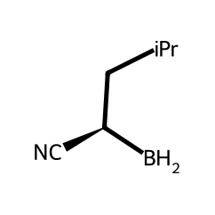 B[C@@H](C#N)CC(C)C